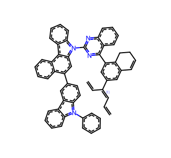 C=C/C=C(\C=C)c1cc2c(c(-c3nc(-n4c5ccccc5c5c6ccccc6c(-c6ccc7c(c6)c6ccccc6n7-c6ccccc6)cc54)nc4ccccc34)c1)CCC=C2